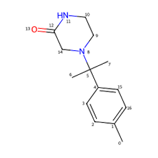 Cc1ccc(C(C)(C)N2CCNC(=O)C2)cc1